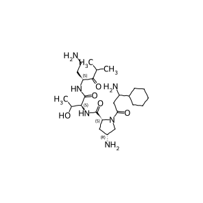 CC(C)C(=O)[C@H](CCN)NC(=O)[C@@H](NC(=O)[C@@H]1C[C@@H](N)CN1C(=O)CC(N)C1CCCCC1)C(C)O